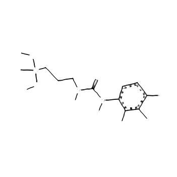 CCO[Si](C)(CCCN(F)C(=O)N(F)c1ccc(F)c(F)c1F)OCC